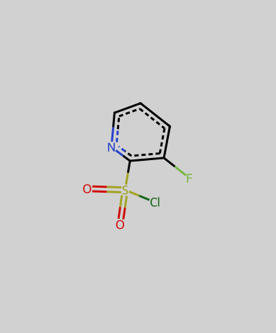 O=S(=O)(Cl)c1ncccc1F